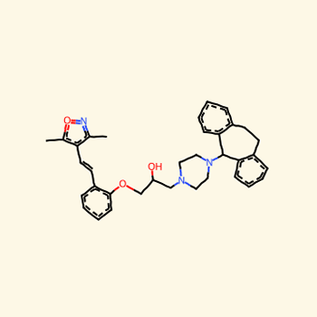 Cc1noc(C)c1C=Cc1ccccc1OCC(O)CN1CCN(C2c3ccccc3CCc3ccccc32)CC1